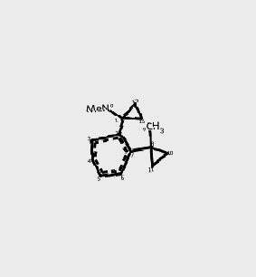 CNC1(c2ccccc2C2(C)CC2)CC1